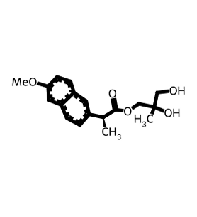 COc1ccc2cc([C@H](C)C(=O)OCC(C)(O)CO)ccc2c1